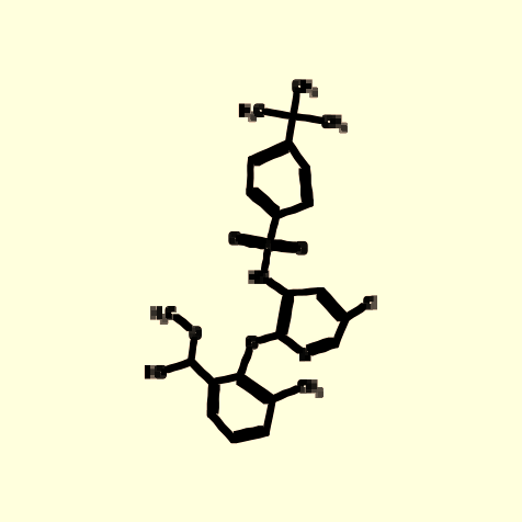 COC(O)c1cccc(C)c1Oc1ncc(Cl)cc1NS(=O)(=O)c1ccc(C(C)(C)C)cc1